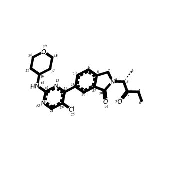 CCC(=O)[C@@H](C)N1Cc2ccc(-c3nc(NC4CCOCC4)ncc3Cl)cc2C1=O